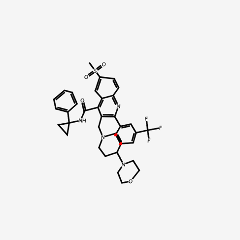 CS(=O)(=O)c1ccc2nc(-c3cccc(C(F)(F)F)c3)c(CN3CCC(N4CCOCC4)CC3)c(C(=O)NC3(c4ccccc4)CC3)c2c1